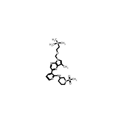 Cc1cn(COCC[Si](C)(C)C)c2ncc(-c3cccnc3NC3CCCN(S(C)(=O)=O)C3)nc12